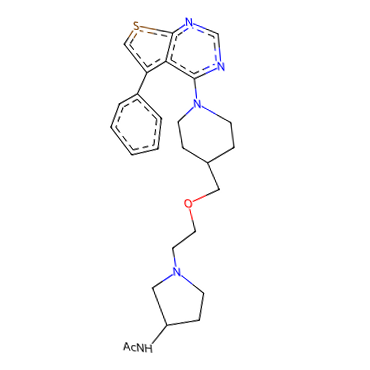 CC(=O)NC1CCN(CCOCC2CCN(c3ncnc4scc(-c5ccccc5)c34)CC2)C1